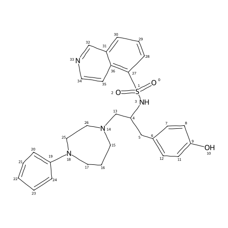 O=S(=O)(NC(Cc1ccc(O)cc1)CN1CCCN(c2ccccc2)CC1)c1cccc2cnccc12